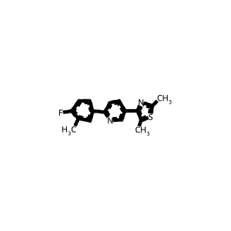 Cc1nc(-c2ccc(-c3ccc(F)c(C)c3)nc2)c(C)s1